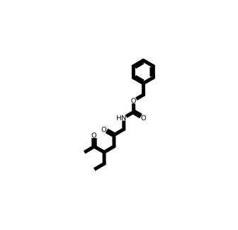 CCC(CC(=O)CNC(=O)OCc1ccccc1)C(C)=O